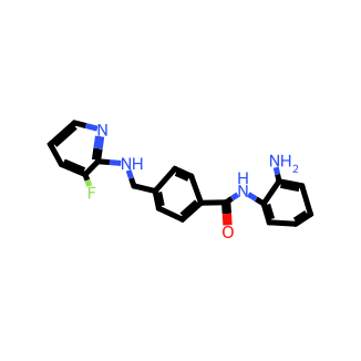 Nc1ccccc1NC(=O)c1ccc(CNc2ncccc2F)cc1